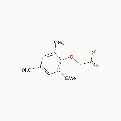 C=C(Br)COc1c(OC)cc(C=O)cc1OC